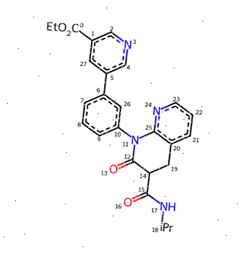 CCOC(=O)c1cncc(-c2cccc(N3C(=O)C(C(=O)NC(C)C)Cc4cccnc43)c2)c1